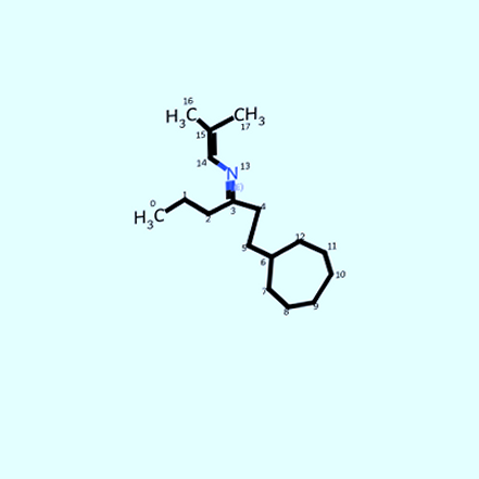 CCC/C(CCC1CCCCCC1)=N\C=C(C)C